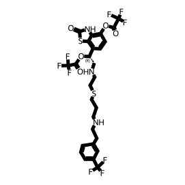 O=C(Oc1ccc([C@H](CNCCSCCCNCCc2cccc(C(F)(F)F)c2)OC(=O)C(F)(F)F)c2sc(=O)[nH]c12)C(F)(F)F